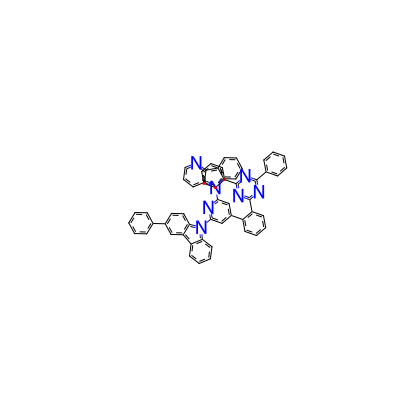 c1ccc(-c2ccc3c(c2)c2ccccc2n3-c2cc(-c3ccccc3-c3nc(-c4ccccc4)nc(-c4ccccc4)n3)cc(-n3c4ccccc4c4ncccc43)n2)cc1